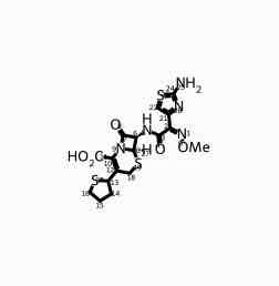 CO/N=C(\C(=O)N[C@@H]1C(=O)N2C(C(=O)O)=C(C3CCCS3)CS[C@H]12)c1csc(N)n1